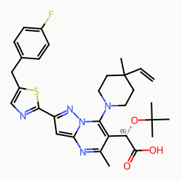 C=CC1(C)CCN(c2c([C@H](OC(C)(C)C)C(=O)O)c(C)nc3cc(-c4ncc(Cc5ccc(F)cc5)s4)nn23)CC1